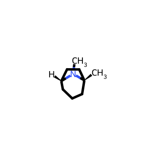 CN1[C@@H]2CCC[C@@]1(C)CC2